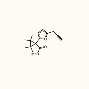 C#CCc1ccc(C2(C(=O)OC)C(C)(C)C2(C)C)o1